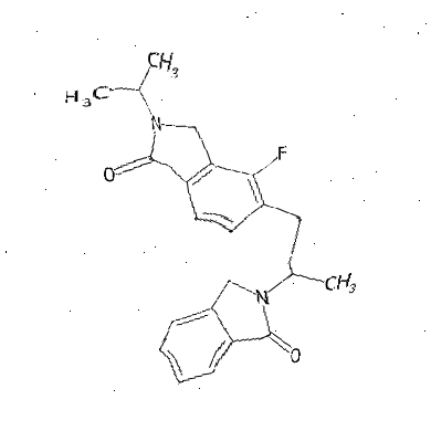 CC(C)N1Cc2c(ccc(CC(C)N3Cc4ccccc4C3=O)c2F)C1=O